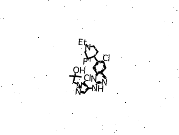 CCN1CCC(c2cc3nc(Nc4cnn(CC(C)(C)O)c4Cl)ncc3cc2Cl)[C@@H](F)C1